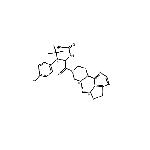 C[C@@H]1CCc2ncnc(N3CCN(C(=O)C(NC(=O)O)[C@@H](c4ccc(Cl)cc4)C(C)(C)C)C[C@@H]3C)c21